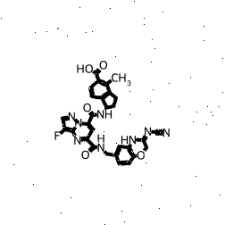 Cc1c(C(=O)O)ccc2c1CC[C@@H]2NC(=O)c1cc(C(=O)NCc2ccc3c(c2)N/C(=N/C#N)CO3)nc2c(F)cnn12